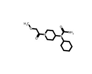 COCC(=O)N1CCC(N(C(N)=O)C2CCCCC2)CC1